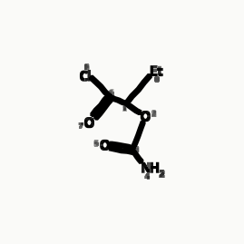 CCC(OC(N)=O)C(=O)Cl